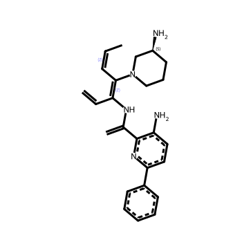 C=C/C(NC(=C)c1nc(-c2ccccc2)ccc1N)=C(\C=C/C)N1CCC[C@H](N)C1